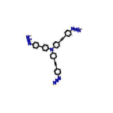 [N-]=[N+]=Nc1ccc(C#Cc2ccc(N(c3ccc(C#Cc4ccc(N=[N+]=[N-])cc4)cc3)c3ccc(-c4ccc(N=[N+]=[N-])cc4)cc3)cc2)cc1